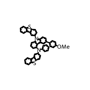 COc1ccc(-c2ccc3c(c2)c2c(N(c4ccccc4)c4ccc5sc6ccccc6c5c4)cccc2n3-c2ccc3sc4ccccc4c3c2)cc1